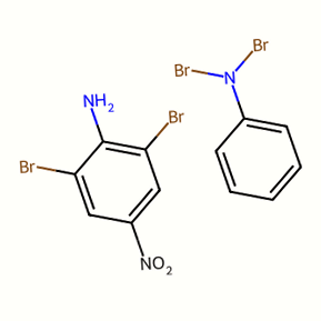 BrN(Br)c1ccccc1.Nc1c(Br)cc([N+](=O)[O-])cc1Br